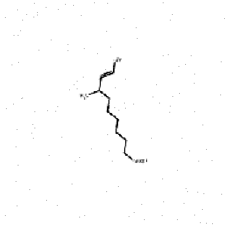 [CH2]CC/C=C/C(C)CCCCCCCCCCCC[CH2]